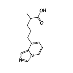 CC(CCCc1cccn2cncc12)C(=O)O